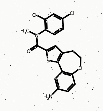 CN(C(=O)c1cc2c(s1)-c1cc(N)ccc1OCC2)c1ccc(Cl)cc1Cl